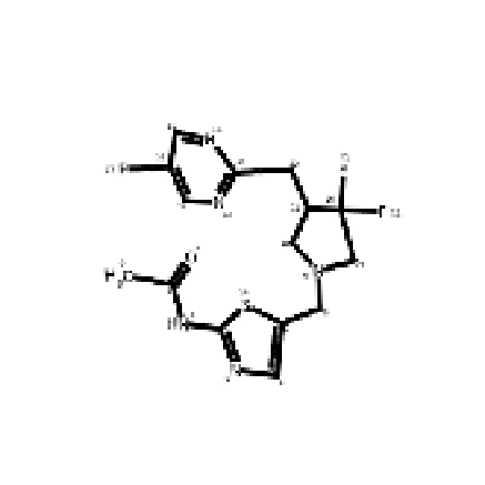 CC(=O)Nc1ncc(CN2CC(Cc3ncc(F)cn3)C(F)(F)C2)s1